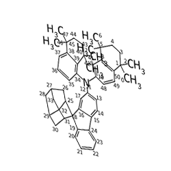 CC1(C)CCC(C)(C)c2cc(N(c3ccc4c(c3)C3(c5ccccc5-4)C4CC5CC6CC3C64C5)c3cccc4c3C(C)(C)CCC4(C)C)ccc21